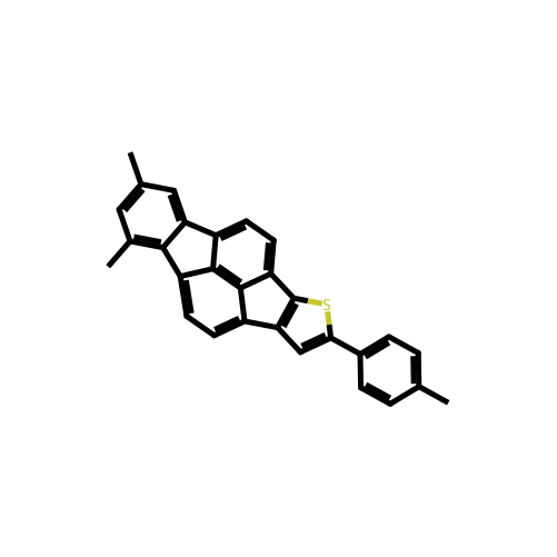 Cc1ccc(-c2cc3c(s2)-c2ccc4c5c(ccc-3c25)-c2c(C)cc(C)cc2-4)cc1